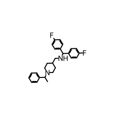 CC(c1ccccc1)N1CCC(CNC(c2ccc(F)cc2)c2ccc(F)cc2)CC1